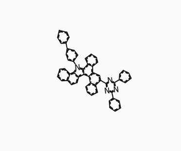 c1ccc(-c2ccc(-n3c4c5ccccc5ccc4c4c5c6ccccc6c(-c6nc(-c7ccccc7)nc(-c7ccccc7)n6)cc5c5ccccc5c43)cc2)cc1